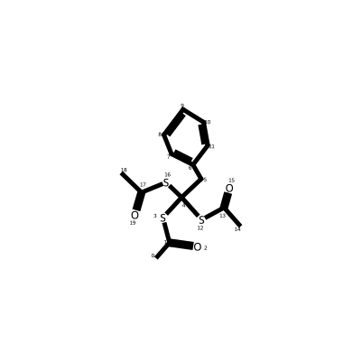 CC(=O)SC([CH]c1ccccc1)(SC(C)=O)SC(C)=O